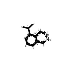 CC(C)c1cccc2cnncc12